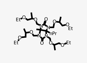 CCCC12N(COC(C)COCC)C(=O)N(COC(C)COCC)C1(C)N(COC(C)COCC)C(=O)N2COC(C)COCC